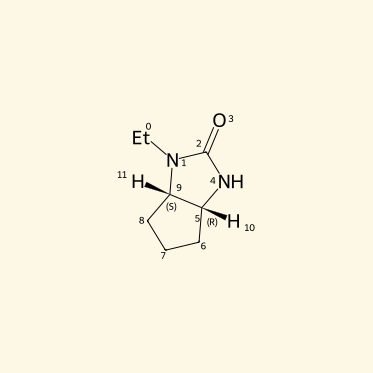 CCN1C(=O)N[C@@H]2CCC[C@@H]21